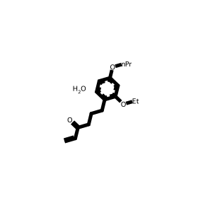 C=CC(=O)CCCc1ccc(OCCC)cc1OCC.O